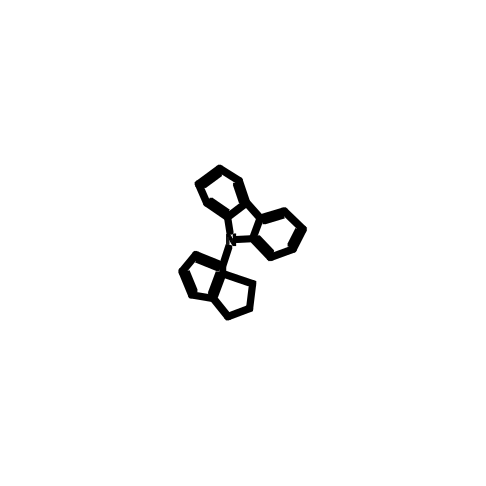 c1cc2c(c(-n3c4ccccc4c4ccccc43)c1)CCC2